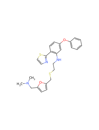 CN(C)Cc1ccc(CSCCNc2cc(Oc3ccccc3)ccc2-c2nccs2)o1